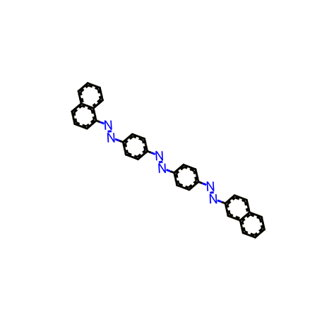 c1ccc2cc(/N=N/c3ccc(/N=N/c4ccc(/N=N/c5cccc6ccccc56)cc4)cc3)ccc2c1